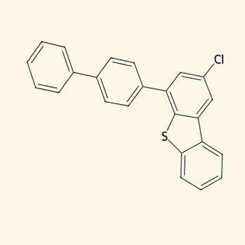 Clc1cc(-c2ccc(-c3ccccc3)cc2)c2sc3ccccc3c2c1